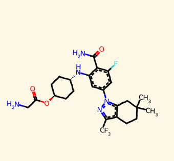 CC1(C)CCc2c(C(F)(F)F)nn(-c3cc(F)c(C(N)=O)c(N[C@H]4CC[C@H](OC(=O)CN)CC4)c3)c2C1